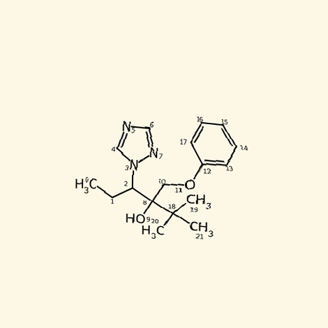 CCC(n1cncn1)C(O)(COc1ccccc1)C(C)(C)C